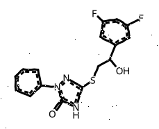 O=c1[nH]c(SCC(O)c2cc(F)cc(F)c2)nn1-c1ccccc1